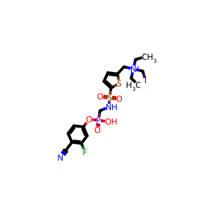 CC[N+](CC)(CI)Cc1ccc(S(=O)(=O)NCP(=O)(O)Oc2ccc(C#N)c(F)c2)s1